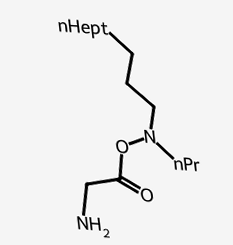 CCCCCCCCCCN(CCC)OC(=O)CN